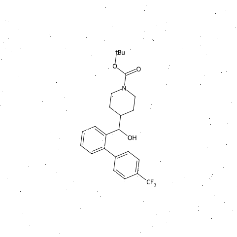 CC(C)(C)OC(=O)N1CCC(C(O)c2ccccc2-c2ccc(C(F)(F)F)cc2)CC1